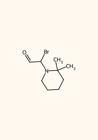 CC1(C)CCCCN1C(Br)C=O